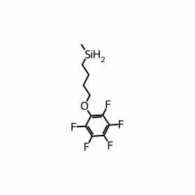 C[SiH2]CCCCOc1c(F)c(F)c(F)c(F)c1F